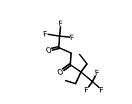 CCC(CC)(C(=O)CC(=O)C(F)(F)F)C(F)(F)F